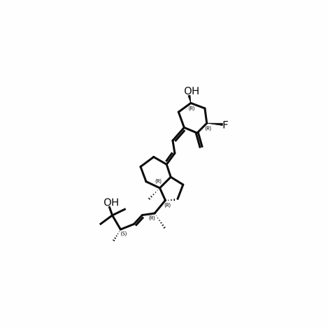 C=C1C(=CC=C2CCC[C@@]3(C)C2CC[C@@H]3[C@H](C)C=C[C@H](C)C(C)(C)O)C[C@@H](O)C[C@H]1F